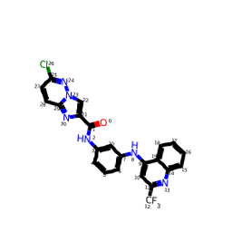 O=C(Nc1cccc(Nc2cc(C(F)(F)F)nc3ccccc23)c1)c1cn2nc(Cl)ccc2n1